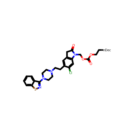 CCCCCCCCCCCCOC(=O)OCN1C(=O)Cc2cc(CCN3CCN(c4nsc5ccccc45)CC3)c(Cl)cc21